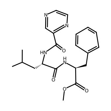 COC(=O)[C@H](Cc1ccccc1)NC(=O)[C@H](CC(C)C)NC(=O)c1cnccn1